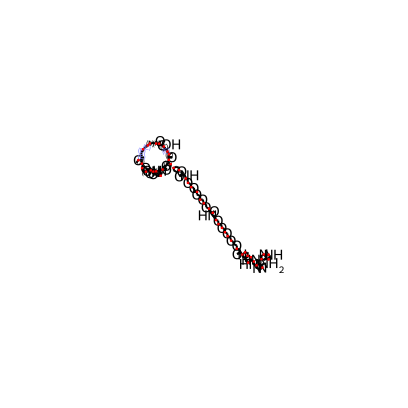 CO[C@H]1CC2CC[C@@H](C)[C@@](O)(O2)C(=O)C(=O)N2CCCC[C@H]2CC(=O)O[C@H](CC[C@H]2CC[C@H](OC(=O)NCCOCCOCCOCCOCCOCCC(=O)NCCOCCOCCOCCOCCOCCC(=O)N3CCc4cc(CNc5ncnc(N)c5C(=N)c5cnc6[nH]ccc6c5)ccc4C3)CC2)CC(=O)[C@H](C)/C=C(\C)[C@@H](O)CC(=O)[C@H](C)C[C@H](C)/C=C/C=C/C=C/1C